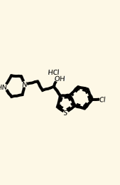 Cl.OC(CCN1CCNCC1)c1csc2cc(Cl)ccc12